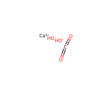 O=C=O.[Ca+2].[OH-].[OH-]